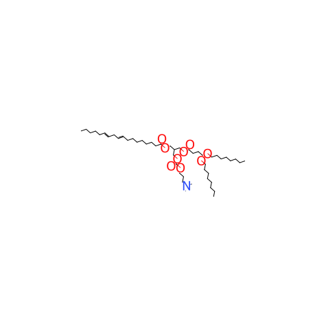 CCCCCC=CCC=CCCCCCCCC(=O)OCC(COC(=O)CCC(OCCCCCCCC)OCCCCCCCC)COC(=O)OCCCN(C)C